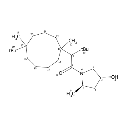 C[C@@H]1C[C@@H](O)CN1C(=O)C(C(C)(C)C)C1(C)CCCCC(C)(C(C)(C)C)CCC1